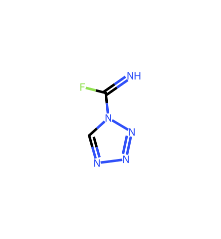 N=C(F)n1cnnn1